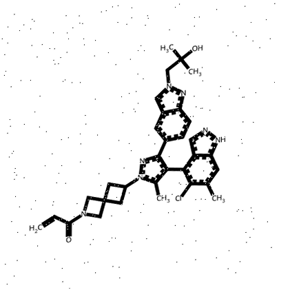 C=CC(=O)N1CC2(CC(n3nc(-c4ccc5nn(CC(C)(C)O)cc5c4)c(-c4c(Cl)c(C)cc5[nH]ncc45)c3C)C2)C1